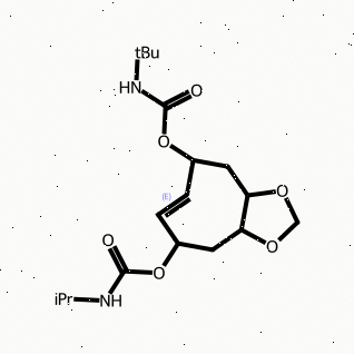 CC(C)NC(=O)OC1/C=C/C(OC(=O)NC(C)(C)C)CC2OCOC2C1